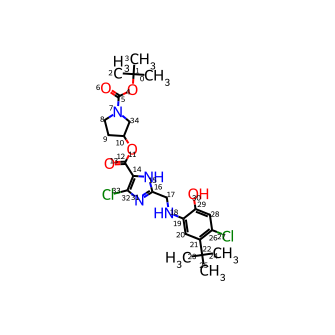 CC(C)(C)OC(=O)N1CCC(OC(=O)c2[nH]c(CNc3cc(C(C)(C)C)c(Cl)cc3O)nc2Cl)C1